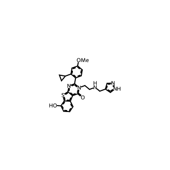 COc1ccc(-c2nc3sc4c(O)cccc4c3c(=O)n2CCNCc2cn[nH]c2)c(C2CC2)c1